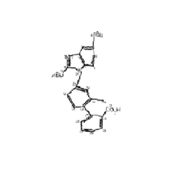 CCCCc1ccc2c(c1)nc(CCCC)n2-c1ccc(-c2ccccc2C(=O)O)c(C)c1